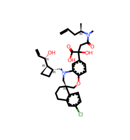 C=CC[C@@H](C)N(C)C(=O)CC(O)(C(=O)O)c1ccc2c(c1)N(C[C@@H]1CC[C@H]1[C@@H](O)C=C)C[C@@]1(CCCc3cc(Cl)ccc31)CO2